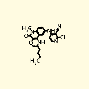 CCCCC1COc2c(c3cc(Nc4ccnc(Cl)c4C#N)ccc3n(C)c2=O)N1